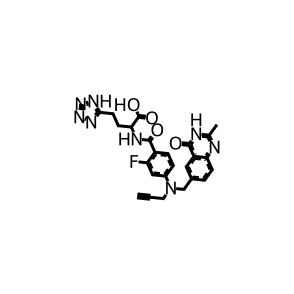 C#CCN(Cc1ccc2nc(C)[nH]c(=O)c2c1)c1ccc(C(=O)NC(CCc2nnn[nH]2)C(=O)O)c(F)c1